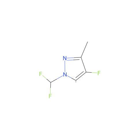 Cc1nn(C(F)F)[c]c1F